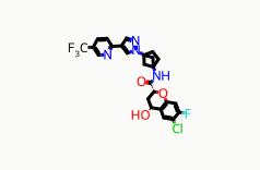 O=C(NC12CCC(n3cc(-c4ccc(C(F)(F)F)cn4)cn3)(C1)C2)[C@H]1C[C@@H](O)c2cc(Cl)c(F)cc2O1